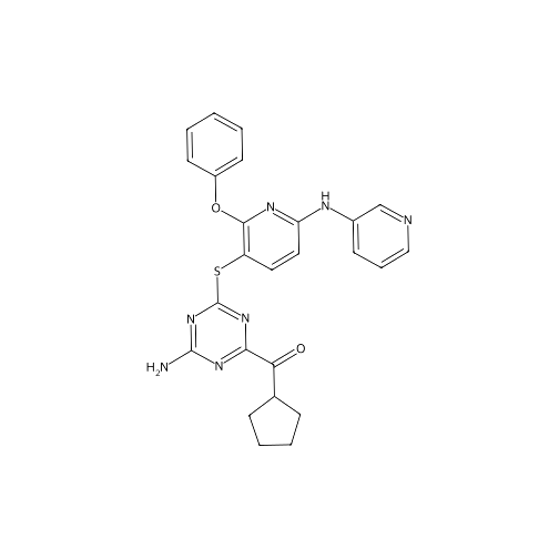 Nc1nc(Sc2ccc(Nc3cccnc3)nc2Oc2ccccc2)nc(C(=O)C2CCCC2)n1